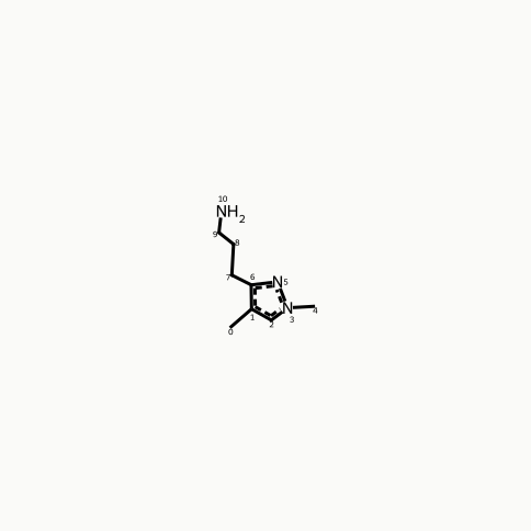 Cc1cn(C)nc1CCCN